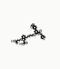 O=C(O)CCCOc1cccc(CCCCCCOc2cc(C(=O)NCc3cccnc3)cc(-c3ccc4c(c3)OCO4)c2)c1CCC(=O)O